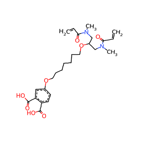 C=CC(=O)N(C)CC(CN(C)C(=O)C=C)OCCCCCCCOc1ccc(C(=O)O)c(C(=O)O)c1